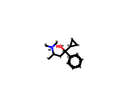 CC(CC(O)(c1ccccc1)C1CC1)N(C)C